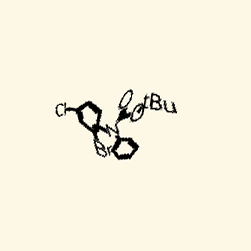 CC(C)(C)OC(=O)N(c1ccccc1)c1ccc(Cl)cc1Br